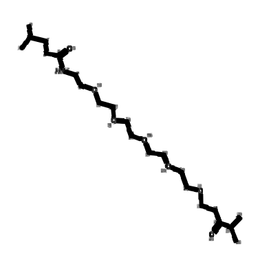 CC(C)CCC(=O)NCCOCCOCCOCCOCCOCCC(=O)C(C)C